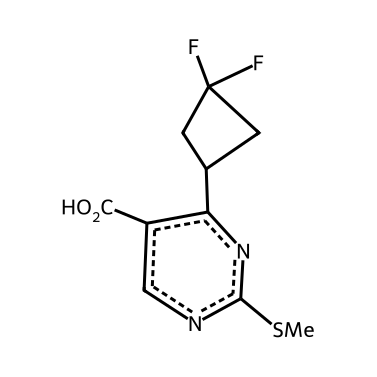 CSc1ncc(C(=O)O)c(C2CC(F)(F)C2)n1